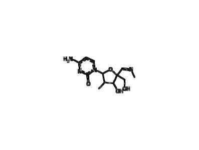 C/N=C\C1(CO)OC(n2ccc(N)nc2=O)C(C)C1O